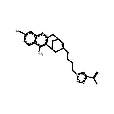 C=C(C)c1cn(CCCCC2=CC3Cc4nc5cc(Cl)ccc5c(N)c4C(C2)C3)nn1